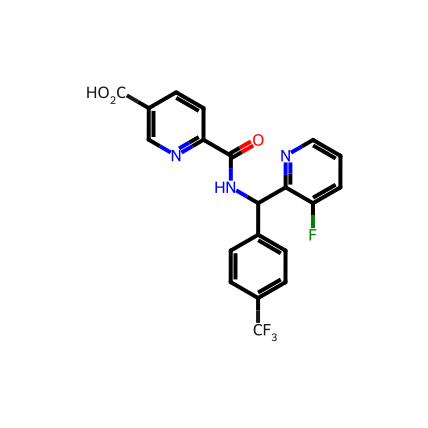 O=C(O)c1ccc(C(=O)NC(c2ccc(C(F)(F)F)cc2)c2ncccc2F)nc1